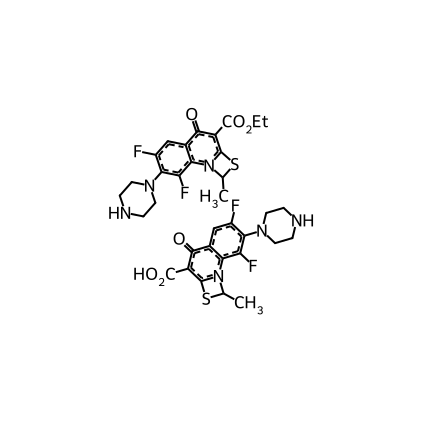 CC1Sc2c(C(=O)O)c(=O)c3cc(F)c(N4CCNCC4)c(F)c3n21.CCOC(=O)c1c2n(c3c(F)c(N4CCNCC4)c(F)cc3c1=O)C(C)S2